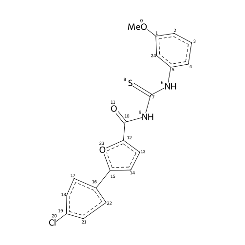 COc1cccc(NC(=S)NC(=O)c2ccc(-c3ccc(Cl)cc3)o2)c1